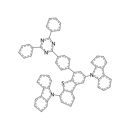 c1ccc(-c2nc(-c3ccccc3)nc(-c3ccc(-c4cc(-n5c6ccccc6c6ccccc65)cc5c4sc4c(-n6c7ccccc7c7ccccc76)cccc45)cc3)n2)cc1